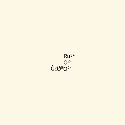 [Gd+3].[O-2].[O-2].[O-2].[Ru+3]